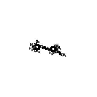 CCCCON1C(C)(C)CCC(OCCCCOC2CCC(C)(C)NC(C)(C)C2)CC1(C)C